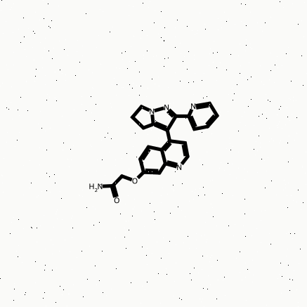 NC(=O)COc1ccc2c(-c3c(-c4ccccn4)nn4c3CCC4)ccnc2c1